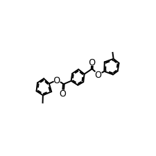 Cc1cccc(OC(=O)c2ccc(C(=O)Oc3cccc(C)c3)cc2)c1